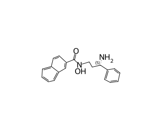 N[C@@H](CCN(O)C(=O)c1ccc2ccccc2c1)c1ccccc1